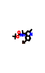 Cc1cc(C(C)NC(=O)OC(C)(C)C)c2cc(Br)ccc2n1